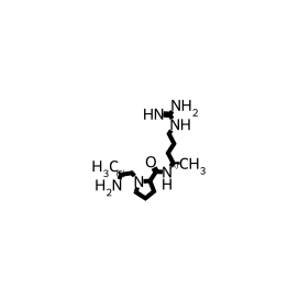 C[C@H](N)CN1CCCC1C(=O)N[C@H](C)CCCNC(=N)N